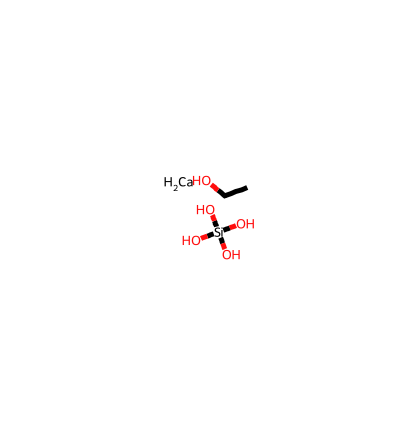 CCO.O[Si](O)(O)O.[CaH2]